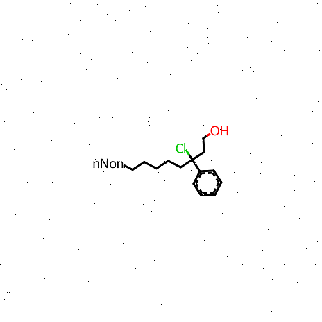 CCCCCCCCCCCCCCC(Cl)(CCO)c1ccccc1